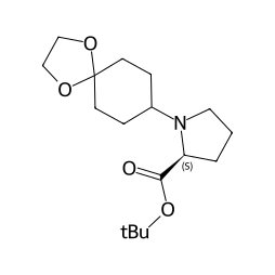 CC(C)(C)OC(=O)[C@@H]1CCCN1C1CCC2(CC1)OCCO2